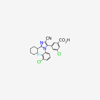 N#Cc1nc(C2CCCCC2)n(-c2cccc(Cl)c2F)c1-c1cc(Cl)cc(C(=O)O)c1